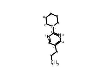 CCCc1cnc(N2CC[CH]CC2)nc1